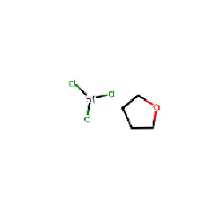 C1CCOC1.[Cl][Hf]([Cl])[Cl]